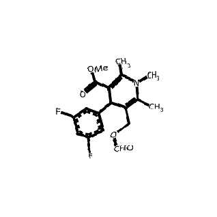 COC(=O)C1=C(C)N(C)C(C)=C(COC=O)C1c1cc(F)cc(F)c1